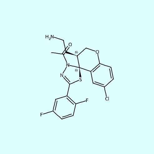 CC(=O)N1N=C(c2cc(F)ccc2F)S[C@@]12c1cc(Cl)ccc1OC[C@@H]2CCN